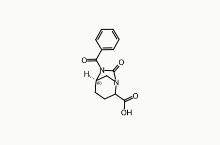 O=C(O)C1CC[C@@H]2CN1C(=O)N2C(=O)c1ccccc1